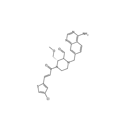 COC[C@@H]1C(C=O)N(Cc2ccc3c(N)ncnc3c2)CCN1C(=O)C=Cc1cc(Cl)cs1